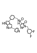 O=C(NCc1cccc(-c2c[nH]c3ncc(-c4ccncc4)cc23)c1)c1cncn(Cc2ccc(F)c(F)c2)c1=O